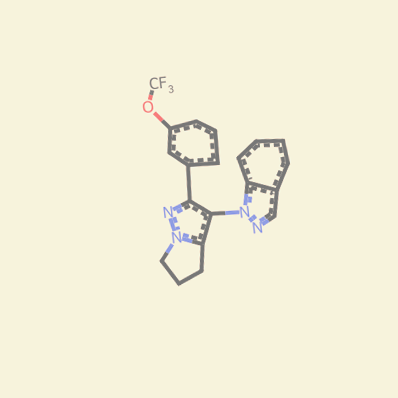 FC(F)(F)Oc1cccc(-c2nn3c(c2-n2ncc4ccccc42)CCC3)c1